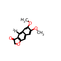 [2H]c1c2c(cc3cc(OC)c(OC)cc13)OCC2=O